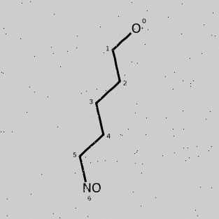 [O]CCCCCN=O